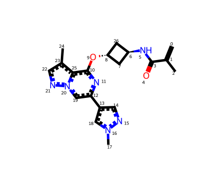 C=C(C)C(=O)N[C@H]1C[C@H](Oc2nc(-c3cnn(C)c3)cn3ncc(C)c23)C1